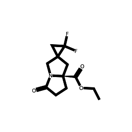 CCOC(=O)[C@@]12CCC(=O)N1CC1(CC1(F)F)C2